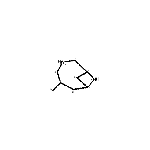 CC1CNCC2CC(C1)N2